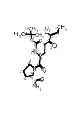 C/C=C(\C)C(=O)CC[C@H](NC(=O)OC(C)(C)C)C(=O)N1CCC[C@H]1C(N)=O